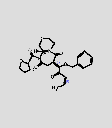 C=C1C/C(=C(/OCc2ccccc2)C(=O)/C=C\C)C(=O)N2CCOC[C@H]2N1C(=O)C1CCCO1